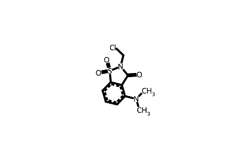 CN(C)c1cccc2c1C(=O)N(CCl)S2(=O)=O